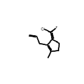 C=CCC1=C(C)CCC1=C(F)Cl